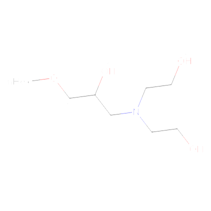 CCCCCCOCC(O)CN(CCO)CCO